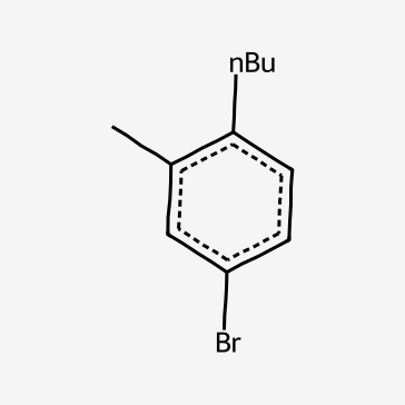 CCCCc1ccc(Br)cc1C